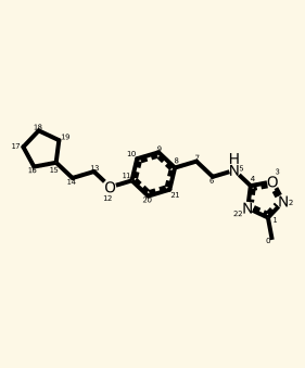 Cc1noc(NCCc2ccc(OCCC3CCCC3)cc2)n1